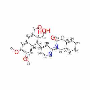 COc1cc2cc(CO)c(CO)c(-c3ccnc(N4Cc5ccccc5CC4=O)c3)c2cc1OC